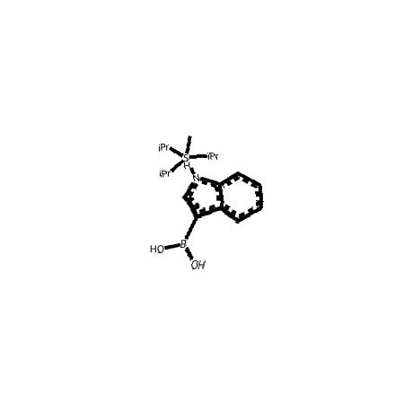 CC(C)[SH](C)(C(C)C)(C(C)C)n1cc(B(O)O)c2ccccc21